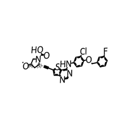 CO[C@@H]1C[C@@H](C#Cc2cc3ncnc(Nc4ccc(OCc5cccc(F)c5)c(Cl)c4)c3s2)N(C(=O)O)C1